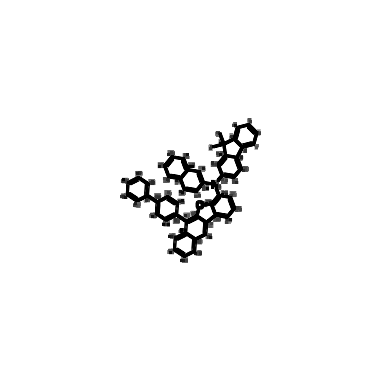 CC1(C)c2ccccc2-c2ccc(N(c3ccc4ccccc4c3)c3cccc4c3oc3c(-c5ccc(-c6ccccc6)cc5)c5ccccc5cc34)cc21